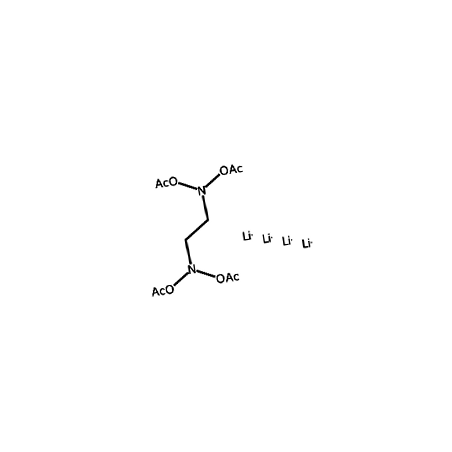 CC(=O)ON(CCN(OC(C)=O)OC(C)=O)OC(C)=O.[Li].[Li].[Li].[Li]